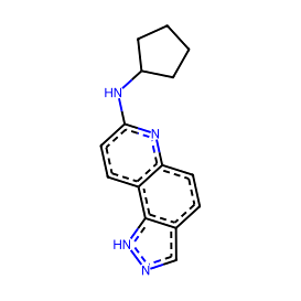 c1cc2c(ccc3cn[nH]c32)nc1NC1CCCC1